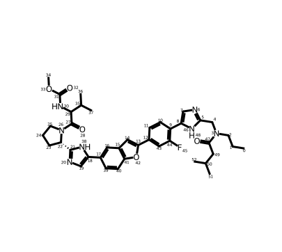 CCCN(Cc1ncc(-c2ccc(-c3cc4cc(-c5cnc([C@@H]6CCCN6C(=O)C(NC(=O)OC)C(C)C)[nH]5)ccc4o3)cc2F)[nH]1)C(=O)CC(C)C